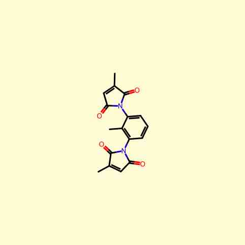 CC1=CC(=O)N(c2cccc(N3C(=O)C=C(C)C3=O)c2C)C1=O